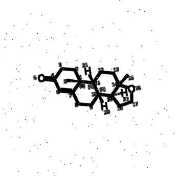 C[C@]12CCC(=O)C=C1CC[C@@H]1[C@H]2CC[C@]2(C)OCC[C@@H]12